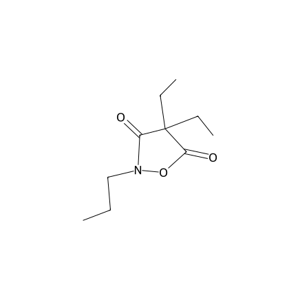 CCCN1OC(=O)C(CC)(CC)C1=O